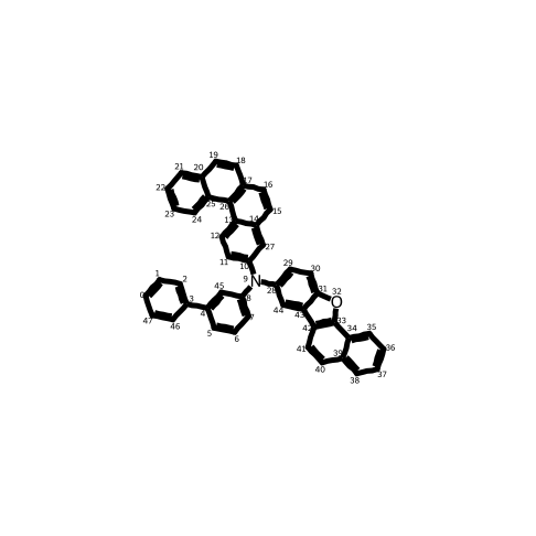 c1ccc(-c2cccc(N(c3ccc4c(ccc5ccc6ccccc6c54)c3)c3ccc4oc5c6ccccc6ccc5c4c3)c2)cc1